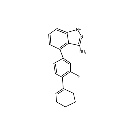 Nc1n[nH]c2cccc(-c3ccc(C4=CCCCC4)c(F)c3)c12